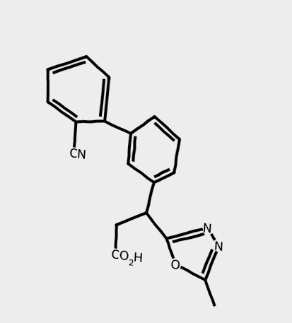 Cc1nnc(C(CC(=O)O)c2cccc(-c3ccccc3C#N)c2)o1